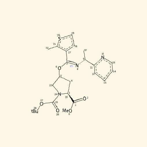 COC(=O)[C@@H]1CC(O/C(=N/C(C)c2ccccn2)c2ccsc2C)CN1C(=O)OC(C)(C)C